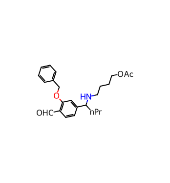 CCCC(NCCCCOC(C)=O)c1ccc(C=O)c(OCc2ccccc2)c1